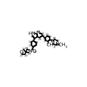 Cc1cc(-c2cnc3[nH]cc(-c4ccc(C(=O)N5CC6(CCOC6)C5)cc4)c3c2)ccc1N1CCN(C)CC1